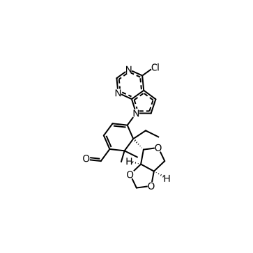 CCC1([C@@H]2OC[C@H]3OCO[C@@H]23)C(n2ccc3c(Cl)ncnc32)=CC=C(C=O)C1(C)C